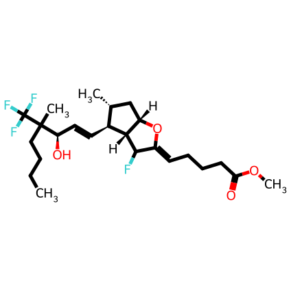 CCCCC(C)([C@H](O)/C=C/[C@@H]1[C@H]2C(F)/C(=C/CCCC(=O)OC)O[C@H]2C[C@H]1C)C(F)(F)F